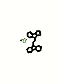 C1=CC2=c3ccccc3=C(CCC3c4ccccc4-c4ccccc43)C2C=C1.[Cl-].[Cl-].[Hf+2]